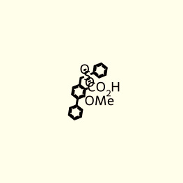 COc1c(-c2ccccc2)ccc(CS(=O)(=O)c2ccccc2)c1C(=O)O